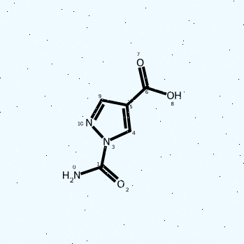 NC(=O)n1cc(C(=O)O)cn1